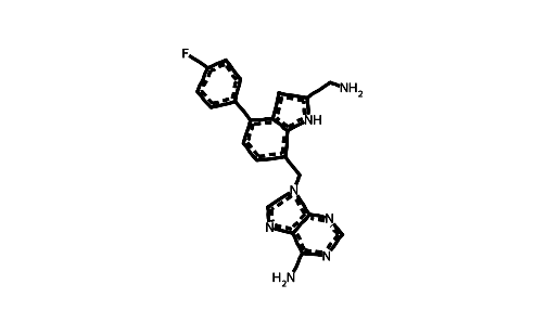 NCc1cc2c(-c3ccc(F)cc3)ccc(Cn3cnc4c(N)ncnc43)c2[nH]1